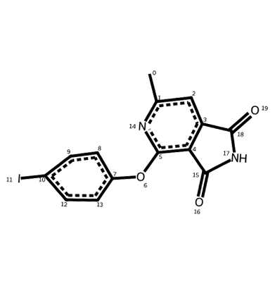 Cc1cc2c(c(Oc3ccc(I)cc3)n1)C(=O)NC2=O